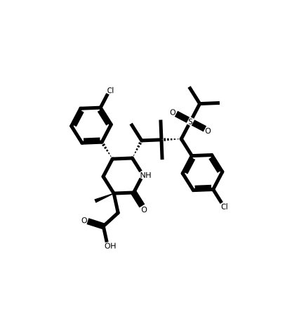 CC([C@@H]1NC(=O)[C@](C)(CC(=O)O)C[C@@H]1c1cccc(Cl)c1)C(C)(C)[C@@H](c1ccc(Cl)cc1)S(=O)(=O)C(C)C